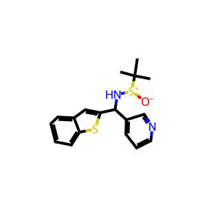 CC(C)(C)[S+]([O-])NC(c1cccnc1)c1cc2ccccc2s1